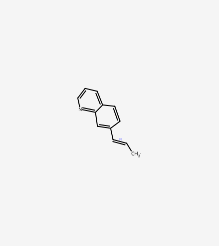 [CH2]/C=C/c1ccc2cccnc2c1